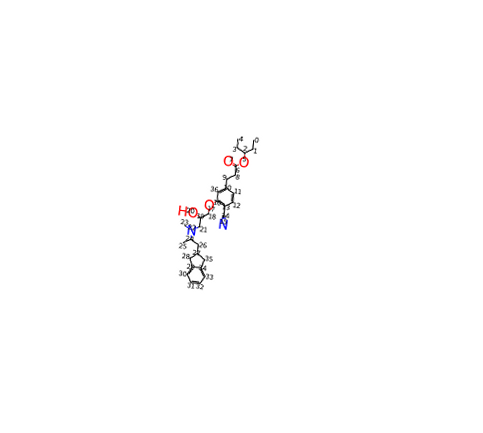 CCC(CC)OC(=O)CCc1ccc(C#N)c(OCC(O)CN(C)C(C)CC2Cc3ccccc3C2)c1